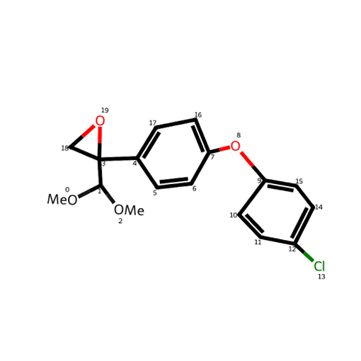 COC(OC)C1(c2ccc(Oc3ccc(Cl)cc3)cc2)CO1